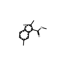 COC(=O)c1c(C)[nH]c2ccc(C)cc12